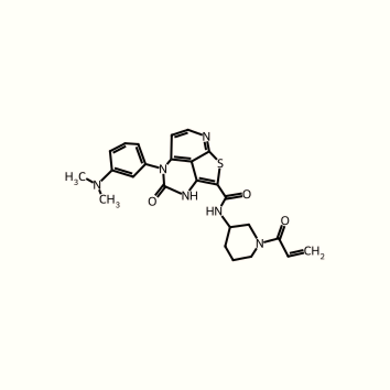 C=CC(=O)N1CCCC(NC(=O)c2sc3nccc4c3c2NC(=O)N4c2cccc(N(C)C)c2)C1